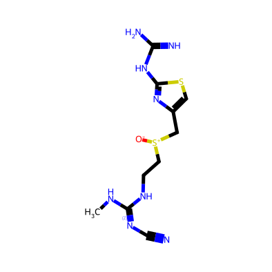 CN/C(=N/C#N)NCC[S+]([O-])Cc1csc(NC(=N)N)n1